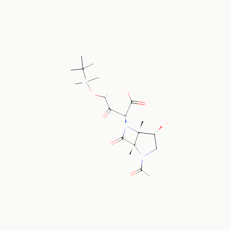 CC(=O)N1C[C@H](O)[C@@H]2[C@H]1C(=O)N2[C@H](C(=O)O)C(=O)CO[Si](C)(C)C(C)(C)C